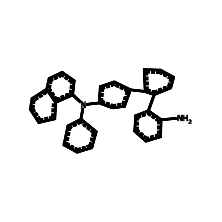 Nc1ccccc1-c1ccccc1-c1ccc(N(c2ccccc2)c2cccc3ccccc23)cc1